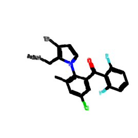 CCc1ccn(-c2c(C)cc(Cl)cc2C(=O)c2c(F)cccc2F)c1CNC(C)=O